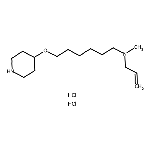 C=CCN(C)CCCCCCOC1CCNCC1.Cl.Cl